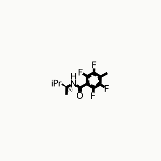 Cc1c(F)c(F)c(C(=O)N[C@@H](C)C(C)C)c(F)c1F